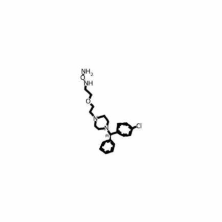 NONCCOCCN1CCN([C@H](c2ccccc2)c2ccc(Cl)cc2)CC1